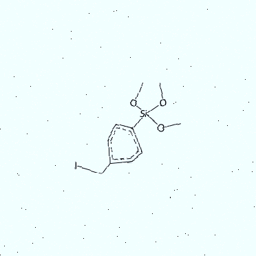 CO[Si](OC)(OC)c1ccc(CI)cc1